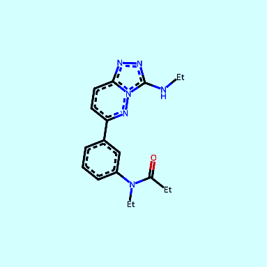 CCNc1nnc2ccc(-c3cccc(N(CC)C(=O)CC)c3)nn12